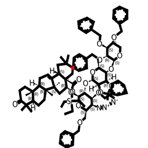 CC[Si](CC)(CC)O[C@@H]1C[C@]2(C)C(=CC[C@@H]3[C@@]4(C)CCC(=O)C(C)(C)[C@@H]4CC[C@]32C)[C@@H]2CC(C)(C)CC[C@]12C(=O)O[C@@H]1O[C@H](COCc2ccccc2)[C@H](N=[N+]=[N-])[C@H](OCc2ccccc2)[C@H]1O[C@@H]1O[C@@H](C)[C@H](O[C@@H]2OC[C@@H](OCc3ccccc3)[C@H](OCc3ccccc3)[C@H]2OCc2ccccc2)[C@H]2OC(C)(C)O[C@@H]12